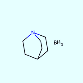 B.C1CN2CCC1CC2